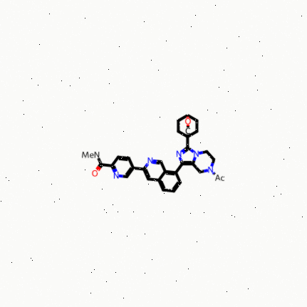 CNC(=O)c1ccc(-c2cc3cccc(-c4nc(C56CCC(CC5)OC6)n5c4CN(C(C)=O)CC5)c3cn2)cn1